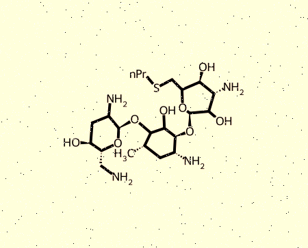 CCCSCC1O[C@H](O[C@@H]2C(O)C(O[C@H]3O[C@H](CN)[C@@H](O)CC3N)[C@@H](C)C[C@H]2N)C(O)[C@@H](N)[C@@H]1O